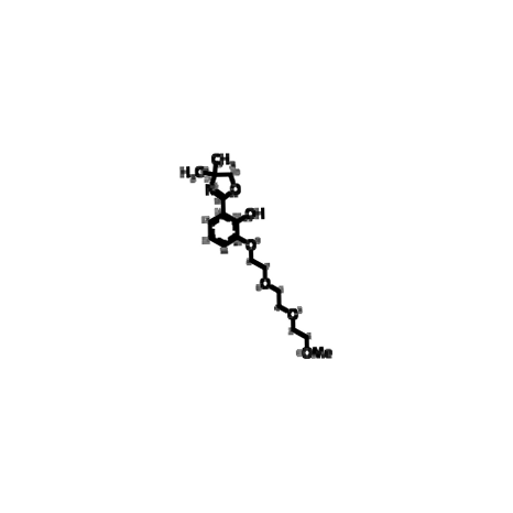 COCCOCCOCCOc1cccc(C2=NC(C)(C)CO2)c1O